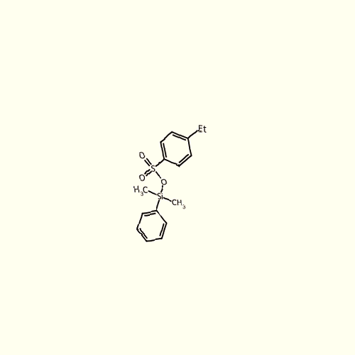 CCc1ccc(S(=O)(=O)O[Si](C)(C)c2ccccc2)cc1